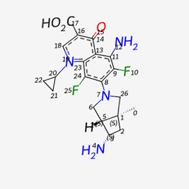 C[C@]12C[C@H](N)[C@@H]1CN(c1c(F)c(N)c3c(=O)c(C(=O)O)cn(C4CC4)c3c1F)C2